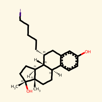 C[C@]12CC[C@@H]3c4ccc(O)cc4C[C@@H](CCCCCI)[C@H]3[C@@H]1CC[C@@]2(C)O